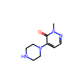 Cn1nccc(N2CCNCC2)c1=O